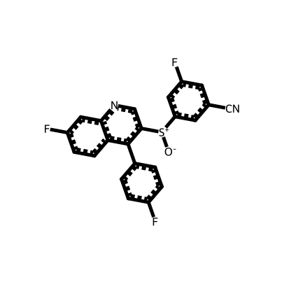 N#Cc1cc(F)cc([S+]([O-])c2cnc3cc(F)ccc3c2-c2ccc(F)cc2)c1